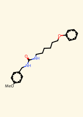 COc1ccc(CNC(=O)NCCCCCCOc2ccccc2)cc1